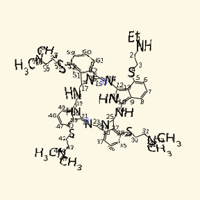 CCNCCSc1cccc2c3[nH]c(c12)/N=C1\N=C(NC2N/C(=N\C4=NC(N3)c3c(SCCN(C)C)cccc34)c3c(SCCN(C)C)cccc32)c2c(SCCN(C)C)cccc21